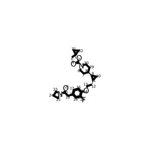 CC1(OC(=O)N2CCC([C@H]3C[C@@H]3CCOc3ccc(CC(=O)N4CCC4)cc3F)CC2)CC1